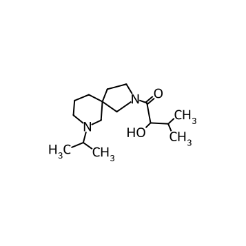 CC(C)C(O)C(=O)N1CCC2(CCCN(C(C)C)C2)C1